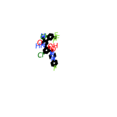 N#Cc1c(-c2cc(C(F)(F)F)ccc2Cl)cc(-c2cc(Cl)cc(C(=O)N3CCN(c4ccc(F)cc4)CC3)c2O)[nH]c1=O